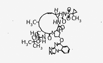 C[C@H]1CC/C=C\[C@@H]2C[C@@]2(C(=O)NS(=O)(=O)C2(C)CC2)NC(=O)[C@@H]2C[C@@H](Oc3nc4nncn4c4ccccc34)CN2C(=O)[C@@H](NC(=O)OC(C)(C)C)[C@H](C)C1